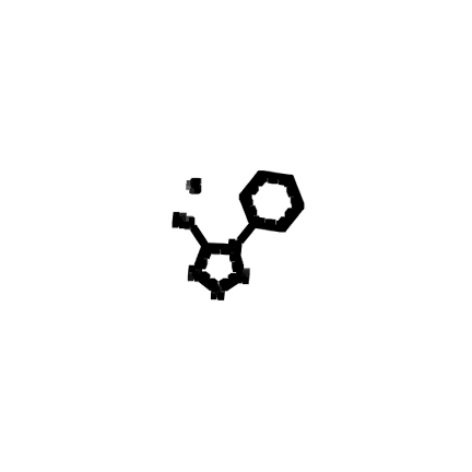 [Na][c]1nnnn1-c1ccccc1.[S]